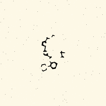 CC(C)(C)C(=O)O.CCOC(=O)c1ccc(-c2nc(C(=O)Nc3ccccc3N3CCNCC3)cs2)s1